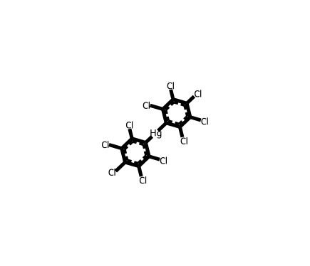 Clc1c(Cl)c(Cl)[c]([Hg][c]2c(Cl)c(Cl)c(Cl)c(Cl)c2Cl)c(Cl)c1Cl